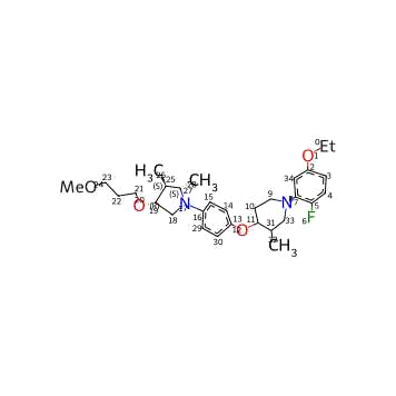 CCOc1ccc(F)c(N2CCC(Oc3ccc(N4C[C@H](OCCCOC)[C@@H](C)[C@@H]4C)cc3)C(C)C2)c1